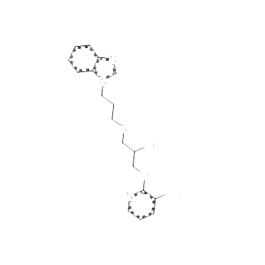 CCOC(=O)c1cccnc1OCC(O)CNCCCn1cnc2ccccc21